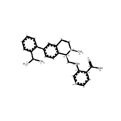 CC(C)c1ccccc1-c1ccc2c(c1)CCN(C)[C@H]2CNc1cnccc1C(=O)O